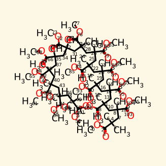 COC(=O)C(C)(C)CC(C)(CC(C)(CC(C)(CC(C)(CC(C)(CC(C)(CC(C)(CC(C)(CC(C)(CC(C)(CC(C)(CC(C)(CC(C)(CC(C)(C)C(=O)OC)C(=O)OC)C(=O)OC)C(=O)OC)C(=O)OC)C(=O)OC)C(=O)OC)C(=O)OC)C(=O)OC)C(=O)OC)C(=O)OC)C(=O)OC)C(=O)OC)C(=O)OC